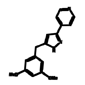 COc1cc(Cc2cc(-c3ccncc3)n[nH]2)cc(OC)c1